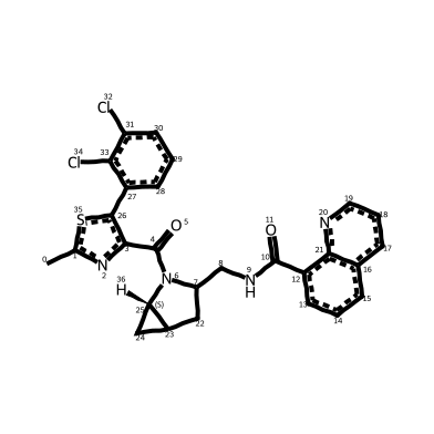 Cc1nc(C(=O)N2C(CNC(=O)c3cccc4cccnc34)CC3C[C@@H]32)c(-c2cccc(Cl)c2Cl)s1